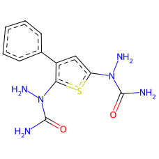 NC(=O)N(N)c1cc(-c2ccccc2)c(N(N)C(N)=O)s1